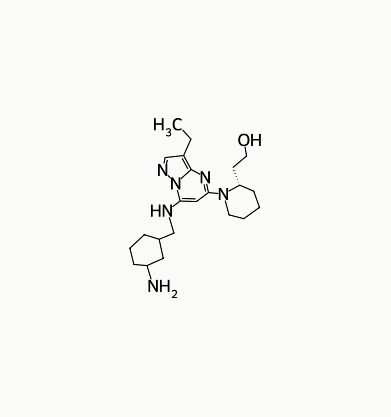 CCc1cnn2c(NCC3CCCC(N)C3)cc(N3CCCC[C@H]3CCO)nc12